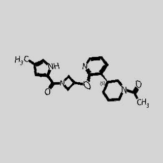 CC(=O)N1CCC[C@@H](c2cccnc2OC2CN(C(=O)c3cc(C)c[nH]3)C2)C1